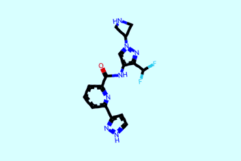 O=C(Nc1cn(C2CNC2)nc1C(F)F)c1cccc(-c2cc[nH]n2)n1